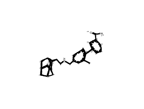 Cc1cc(CNCCC2C3CC4CC(C3)CC2C4)ccc1-c1cccc(C(N)=O)c1